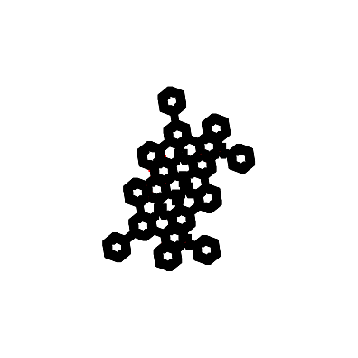 c1ccc(-c2cc(-c3ccccc3)c(N3c4ccccc4B4c5c(cc(N(c6ccccc6)c6ccccc6)cc53)-c3cccc5c3N4B3c4ccccc4N(c4c(-c6ccccc6)cc(-c6ccccc6)cc4-c4ccccc4)c4cc(N(c6ccccc6)c6ccccc6)cc-5c43)c(-c3ccccc3)c2)cc1